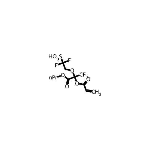 C=CC(=O)OC(OCC(F)(F)S(=O)(=O)O)(C(=O)OCCC)C(F)(F)F